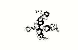 Cc1cccc(Cl)c1CN1CCc2cc(-c3c(NCCN4CCOCC4)nc(C)c(CC(=O)O)c3N3CCC(C)(C)CC3)ccc2C1